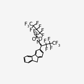 O=S(=O)(ON=C(c1ccc2c(c1)-c1ccccc1C2)C(F)(F)C(F)(F)C(F)(F)F)C(F)(F)C(F)(F)C(F)(F)C(F)(F)F